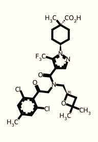 Cc1cc(Cl)c(C(=O)CN(C[C@H]2CC(C)(C)O2)C(=O)c2cnn([C@H]3CC[C@](C)(C(=O)O)CC3)c2C(F)(F)F)c(Cl)c1